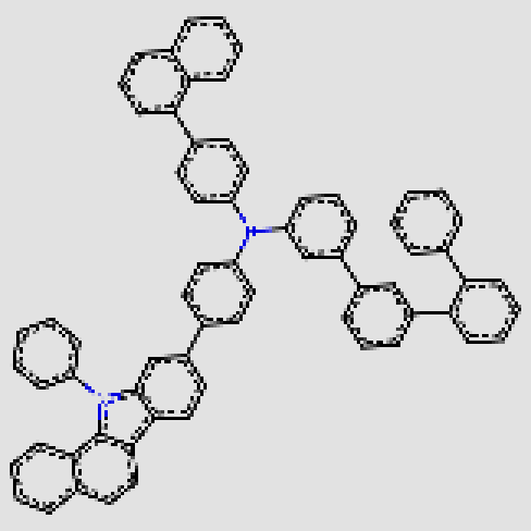 c1ccc(-c2ccccc2-c2cccc(-c3cccc(N(c4ccc(-c5ccc6c7ccc8ccccc8c7n(-c7ccccc7)c6c5)cc4)c4ccc(-c5cccc6ccccc56)cc4)c3)c2)cc1